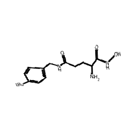 CC(C)(C)c1ccc(CNC(=O)CCC(N)C(=O)NO)cc1